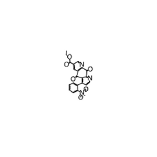 CCOC(=O)c1cnc2c(c1)C(=O)c1c(-c3ccccc3[N+](=O)[O-])ccnc1C2=O